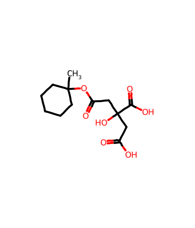 CC1(OC(=O)CC(O)(CC(=O)O)C(=O)O)CCCCC1